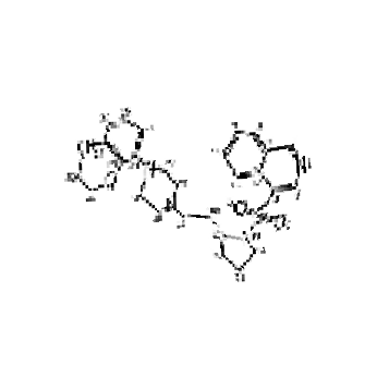 O=S(=O)(c1cncc2ccccc12)N1CCC[C@@H]1CCN1CCN(c2cccc3c2OCCO3)CC1